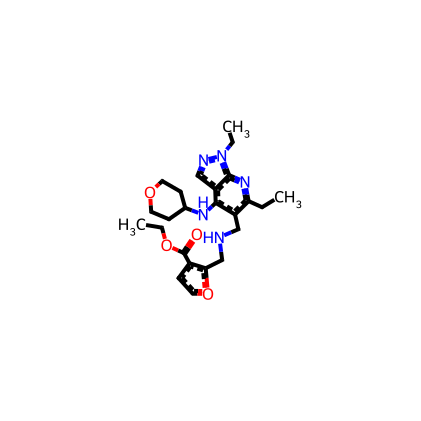 CCOC(=O)c1ccoc1CNCc1c(CC)nc2c(cnn2CC)c1NC1CCOCC1